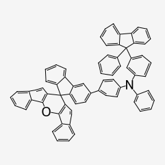 c1ccc(N(c2ccc(-c3ccc4c(c3)-c3ccccc3C43c4ccc5ccccc5c4Oc4c3ccc3ccccc43)cc2)c2cccc(C3(c4ccccc4)c4ccccc4-c4ccccc43)c2)cc1